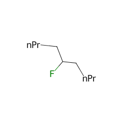 [CH2]CCCC(F)CCCC